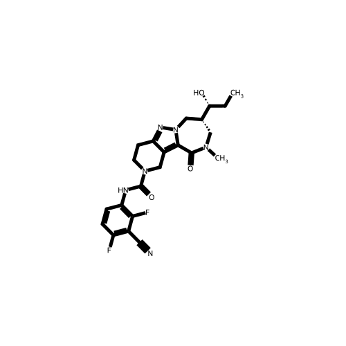 CC[C@@H](O)[C@@H]1CN(C)C(=O)c2c3c(nn2C1)CCN(C(=O)Nc1ccc(F)c(C#N)c1F)C3